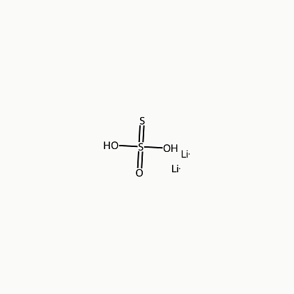 O=S(O)(O)=S.[Li].[Li]